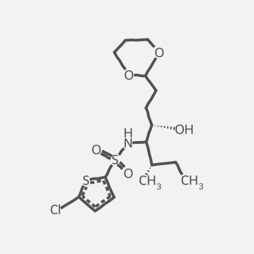 CC[C@H](C)C(NS(=O)(=O)c1ccc(Cl)s1)[C@@H](O)CCC1OCCCO1